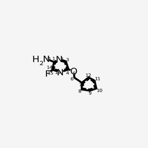 Nc1ncc(OCc2ccccc2)nc1F